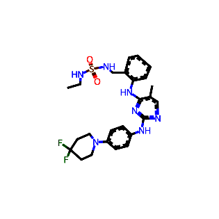 CCNS(=O)(=O)NCc1ccccc1Nc1nc(Nc2ccc(N3CCC(F)(F)CC3)cc2)ncc1C